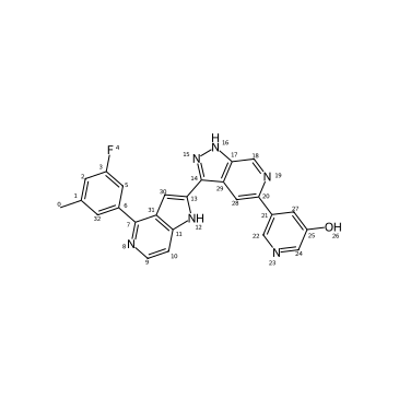 Cc1cc(F)cc(-c2nccc3[nH]c(-c4n[nH]c5cnc(-c6cncc(O)c6)cc45)cc23)c1